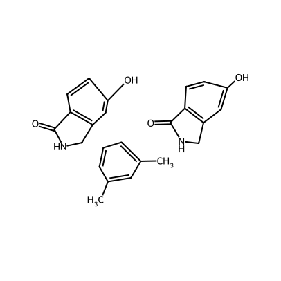 Cc1cccc(C)c1.O=C1NCc2cc(O)ccc21.O=C1NCc2cc(O)ccc21